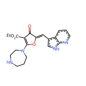 CCOC(=O)C1=C(N2CCCNCC2)OC(=Cc2c[nH]c3ncccc23)C1=O